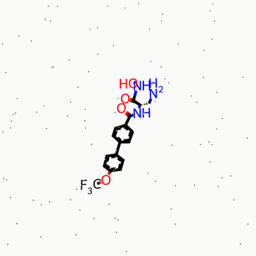 NC[C@H](NC(=O)c1ccc(-c2ccc(OC(F)(F)F)cc2)cc1)C(=O)NO